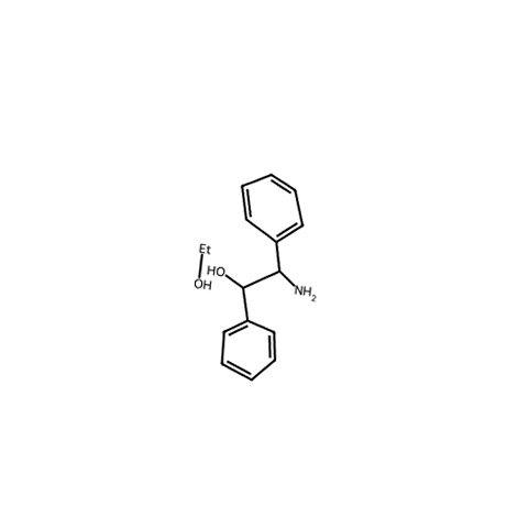 CCO.NC(c1ccccc1)C(O)c1ccccc1